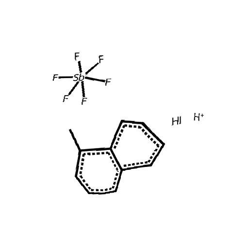 Cc1cccc2ccccc12.I.[F][Sb-]([F])([F])([F])([F])[F].[H+]